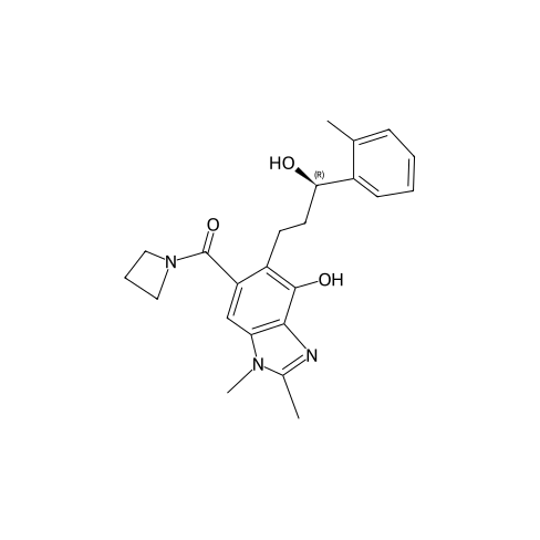 Cc1ccccc1[C@H](O)CCc1c(C(=O)N2CCC2)cc2c(nc(C)n2C)c1O